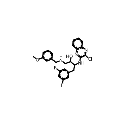 COc1cccc(CNCC(O)C(Cc2cc(F)cc(F)c2)Nc2nc3ccccc3nc2Cl)c1